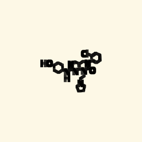 O=C1N(c2ccccc2Cl)Cc2cnc(NC3CCC(O)CC3)nc2N1CCN1CCCC1